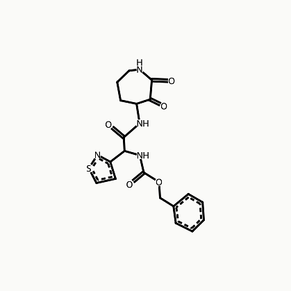 O=C(NC(C(=O)NC1CCCNC(=O)C1=O)c1ccsn1)OCc1ccccc1